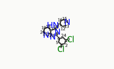 Clc1cc(Cl)cc(-c2nc(Nc3ccncc3)c3cccnc3n2)c1